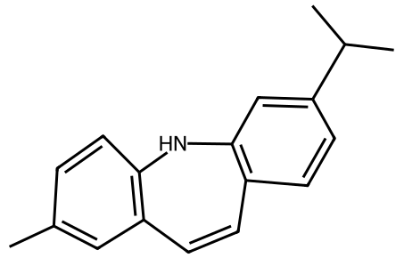 Cc1ccc2c(c1)C=Cc1ccc(C(C)C)cc1N2